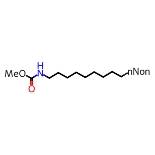 CCCCCCCCCCCCCCCCCCNC(=O)OC